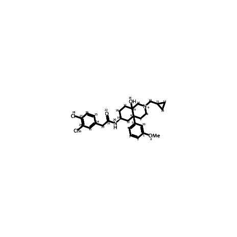 COc1cccc(C23CCN(CC4CC4)CC2(O)CC[C@H](NC(=O)Cc2ccc(Cl)c(Cl)c2)C3)c1